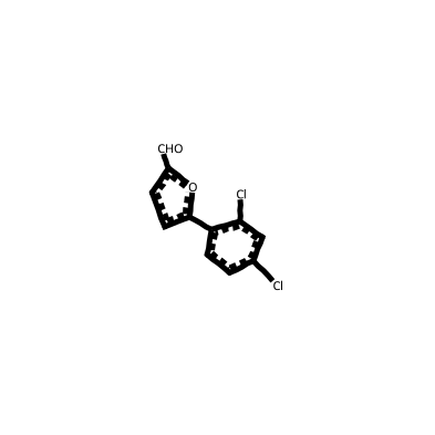 O=Cc1ccc(-c2ccc(Cl)cc2Cl)o1